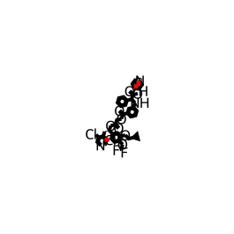 O=C(COC(=O)c1cccc(NC(C(=O)O[C@H]2CN3CCC2CC3)c2ccccc2)c1)O[C@@H](Cc1c(Cl)cncc1Cl)c1ccc(OC(F)F)c(OCC2CC2)c1